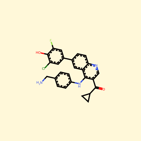 NCc1ccc(Nc2c(C(=O)C3CC3)cnc3ccc(-c4cc(F)c(O)c(Cl)c4)cc23)cc1